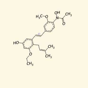 CCOc1cc(O)cc(/C=C/c2ccc(N(O)C(C)=O)c(OC)c2)c1CC=C(C)C